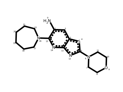 Nc1cc2sc(N3CCOCC3)nc2nc1N1CCCCCC1